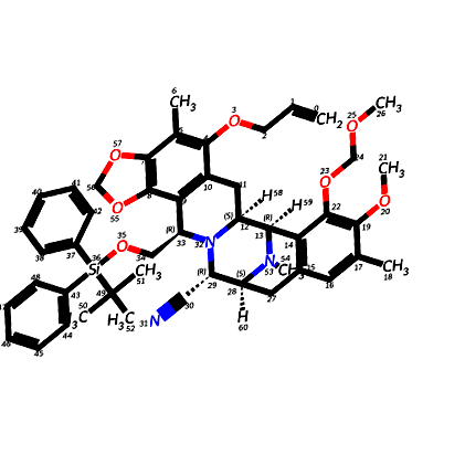 C=CCOc1c(C)c2c(c3c1C[C@H]1[C@H]4c5c(cc(C)c(OC)c5OCOC)C[C@@H]([C@H](C#N)N1[C@H]3CO[Si](c1ccccc1)(c1ccccc1)C(C)(C)C)N4C)OCO2